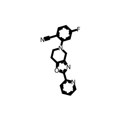 N#Cc1ccc(F)cc1N1CCc2oc(-c3ccccn3)nc2C1